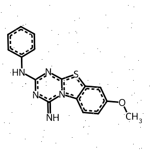 COc1ccc2c(c1)sc1nc(Nc3ccccc3)nc(=N)n12